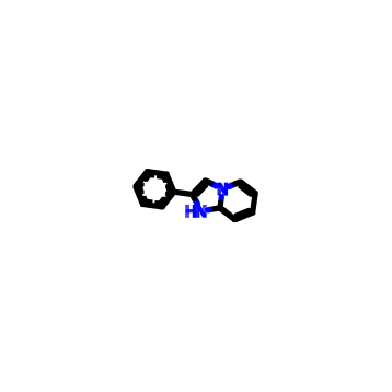 C1=CC2NC(c3ccccc3)=CN2C=C1